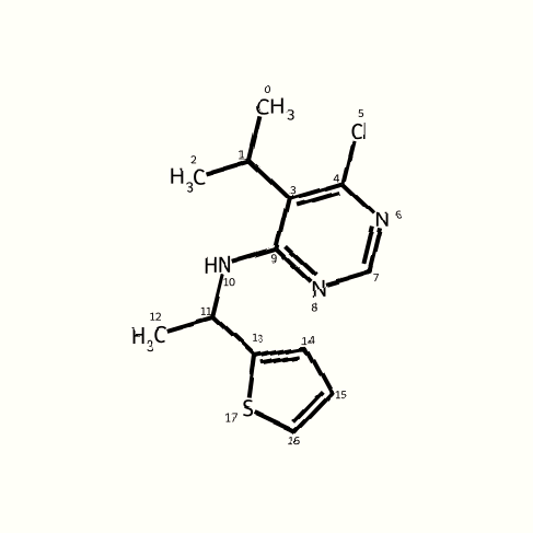 CC(C)c1c(Cl)ncnc1NC(C)c1cccs1